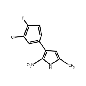 O=[N+]([O-])c1[nH]c(C(F)(F)F)cc1-c1ccc(F)c(Cl)c1